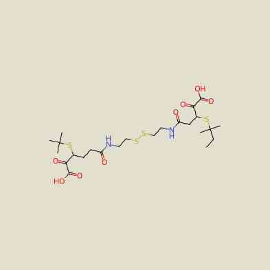 CCC(C)(C)SC(CC(=O)NCCSSCCNC(=O)CCC(SC(C)(C)C)C(=O)C(=O)O)C(=O)C(=O)O